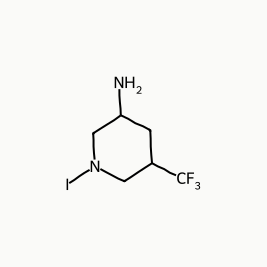 NC1CC(C(F)(F)F)CN(I)C1